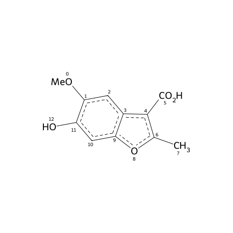 COc1cc2c(C(=O)O)c(C)oc2cc1O